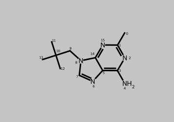 Cc1nc(N)c2ncn(CC(C)(C)C)c2n1